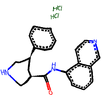 Cl.Cl.O=C(Nc1cccc2cnccc12)[C@H]1CNC[C@H]1c1ccccc1